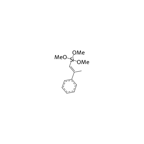 CO[Si](C=C(C)c1ccccc1)(OC)OC